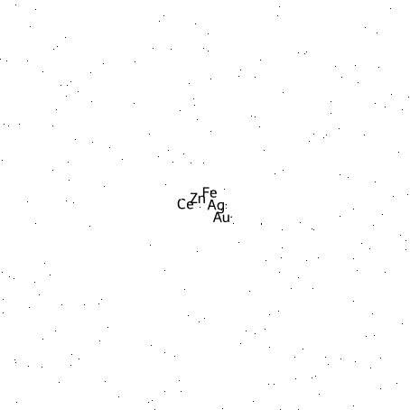 [Ag].[Au].[Ce].[Fe].[Zn]